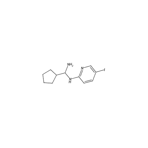 NC(Nc1ccc(I)cn1)C1CCCC1